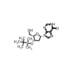 CC(C)(C)[Si](C)(C)O[C@H]1C[C@@H](n2cnc3c(=O)[nH]cnc32)O[C@@H]1CO